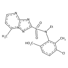 CCN(c1c(C(=O)O)ccc(Cl)c1C)S(=O)(=O)c1nc2nccc(C)n2n1